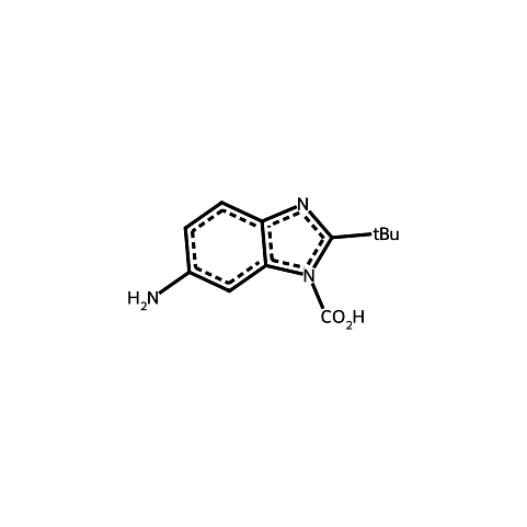 CC(C)(C)c1nc2ccc(N)cc2n1C(=O)O